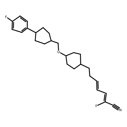 N#CC(F)=CC=CCCC1CCC(OCC2CCC(c3ccc(F)cc3)CC2)CC1